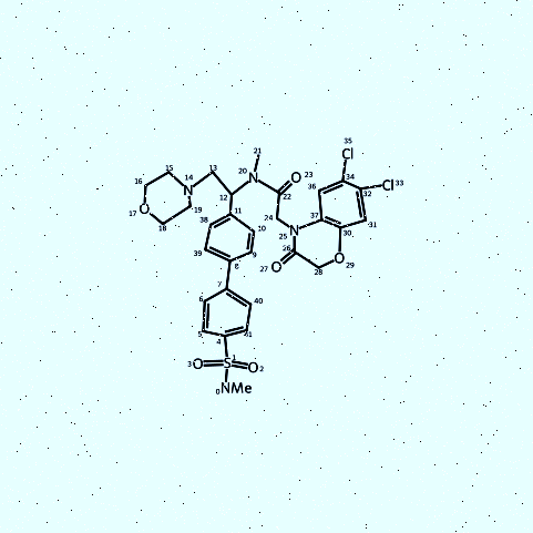 CNS(=O)(=O)c1ccc(-c2ccc(C(CN3CCOCC3)N(C)C(=O)CN3C(=O)COc4cc(Cl)c(Cl)cc43)cc2)cc1